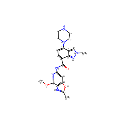 COc1nc(NC(=O)c2ccc(N3CCNCC3)c3cn(C)nc23)cc2oc(C)nc12